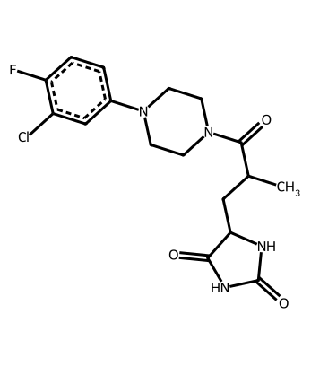 CC(CC1NC(=O)NC1=O)C(=O)N1CCN(c2ccc(F)c(Cl)c2)CC1